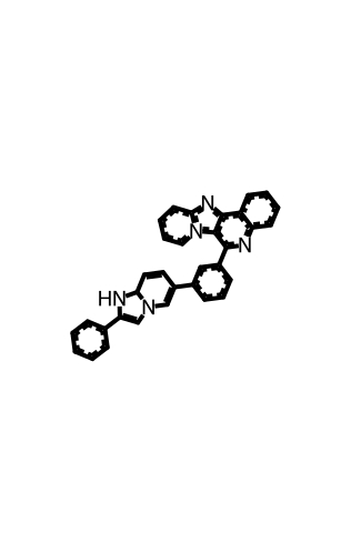 C1=CC2NC(c3ccccc3)=CN2C=C1c1cccc(-c2nc3ccccc3c3nc4ccccn4c23)c1